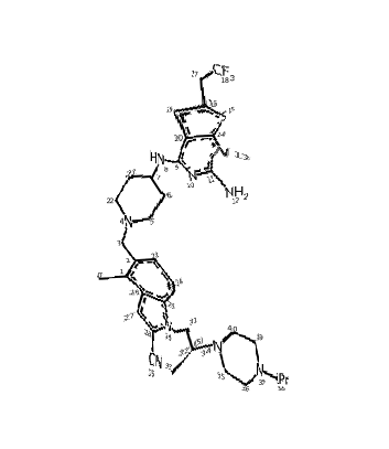 Cc1c(CN2CCC(Nc3nc(N)nc4sc(CC(F)(F)F)cc34)CC2)ccc2c1cc(C#N)n2C[C@H](C)N1CCN(C(C)C)CC1